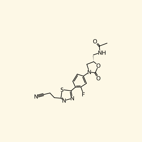 CC(=O)NC[C@H]1CN(c2ccc(-c3nnc(CCC#N)s3)c(F)c2)C(=O)O1